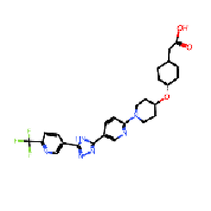 O=C(O)C[C@H]1CC[C@H](OC2CCN(c3ccc(-c4nnc(-c5ccc(C(F)(F)F)nc5)[nH]4)cn3)CC2)CC1